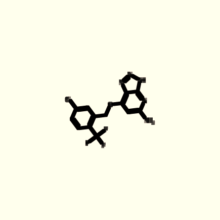 Nc1cc(OCc2cc(Cl)ccc2C(F)(F)F)c2nn[nH]c2n1